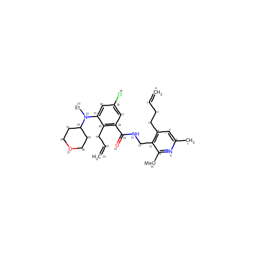 C=CCCc1cc(C)nc(OC)c1CNC(=O)c1cc(Cl)cc(N(CC)C2CCOCC2)c1CC=C